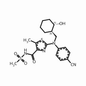 Cc1sc(N(C[C@H]2CCCC[C@@H]2O)c2ccc(C#N)cc2)nc1C(=O)NS(C)(=O)=O